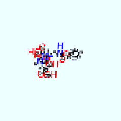 CN(C(=O)N[C@@H](CCCCNC(=O)OCc1ccccc1)C(=O)O)[C@@H](CCC(=O)O)C(=O)O